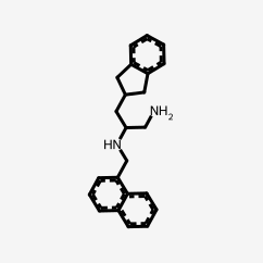 NCC(CC1Cc2ccccc2C1)NCc1cccc2ccccc12